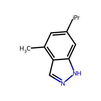 Cc1cc(C(C)C)cc2[nH]ncc12